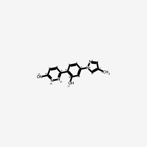 Cc1cnn(-c2ccc(-c3ccc(N=O)nn3)c(O)c2)c1